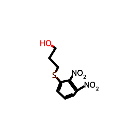 O=[N+]([O-])c1cccc(SCCCO)c1[N+](=O)[O-]